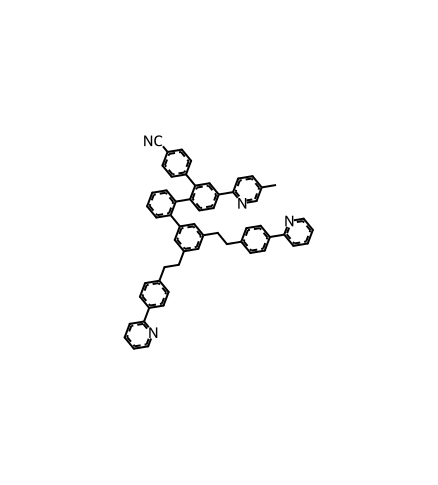 Cc1ccc(-c2ccc(-c3ccccc3-c3cc(CCc4ccc(-c5ccccn5)cc4)cc(CCc4ccc(-c5ccccn5)cc4)c3)c(-c3ccc(C#N)cc3)c2)nc1